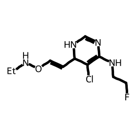 CCNO/C=C/C1NC=NC(NCCF)=C1Cl